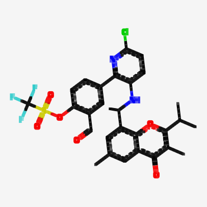 Cc1cc(C(C)Nc2ccc(Cl)nc2-c2ccc(OS(=O)(=O)C(F)(F)F)c(C=O)c2)c2oc(C(C)C)c(C)c(=O)c2c1